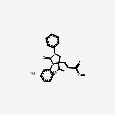 COC(=O)CCC1(C(C)N)CN(c2ccccc2)C(=O)N1c1ccccc1.Cl